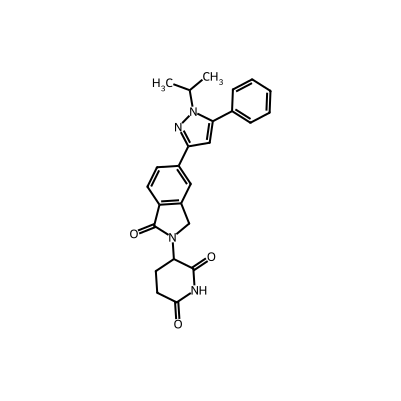 CC(C)n1nc(-c2ccc3c(c2)CN(C2CCC(=O)NC2=O)C3=O)cc1-c1ccccc1